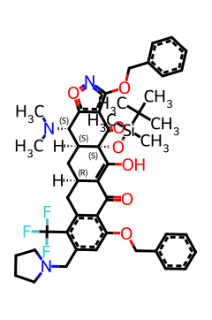 CN(C)[C@@H]1c2onc(OCc3ccccc3)c2C(=O)[C@@]2(O[Si](C)(C)C(C)(C)C)C(O)=C3C(=O)c4c(OCc5ccccc5)cc(CN5CCCC5)c(C(F)(F)F)c4C[C@H]3C[C@@H]12